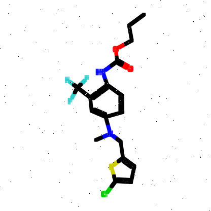 CCCOC(=O)Nc1ccc(N(C)Cc2ccc(Cl)s2)cc1C(F)(F)F